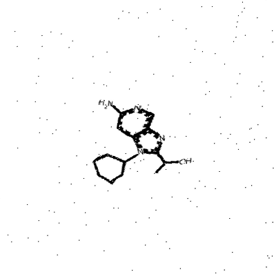 CC(O)c1nc2cnc(N)cc2n1C1CCCCC1